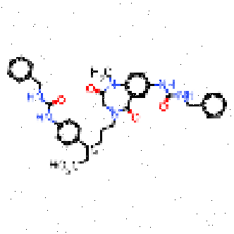 CN1C(=O)CN(CCC[C@@H](CC(=O)O)c2ccc(NC(=O)NCc3ccccc3)cc2)C(=O)c2cc(NC(=O)NCc3ccccc3)ccc21